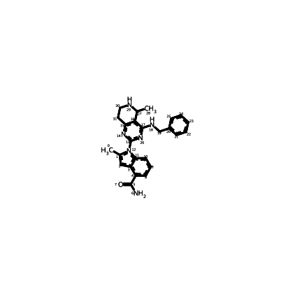 Cc1cc2c(C(N)=O)cccc2n1-c1nc2c(c(NCc3ccccc3)n1)C(C)NCC2